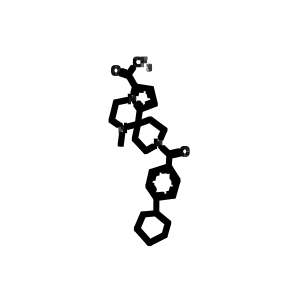 CN1CCn2c(C(=O)C(F)(F)F)ccc2C12CCN(C(=O)c1ccc(C3CCCCC3)cc1)CC2